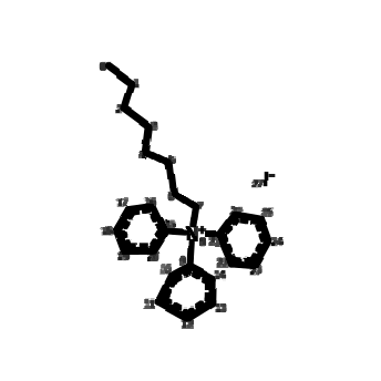 CCCCCCCC[N+](c1ccccc1)(c1ccccc1)c1ccccc1.[I-]